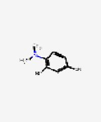 CN(C)c1ccc(C#N)cc1C#N